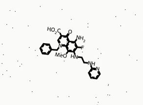 COc1c(NCCNc2ccccn2)c(F)c(N)c2c(=O)c(C(=O)O)cn(Cc3ccccc3)c12